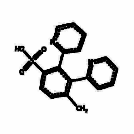 Cc1ccc(S(=O)(=O)O)c(-c2ccccn2)c1-c1ccccn1